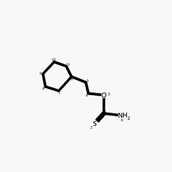 NC(=S)OCCC1CCCCC1